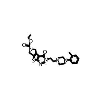 CCOC(=O)N1Cc2sc3ncn(CCN4CCN(c5ccccc5C)CC4)c(=O)c3c2C1